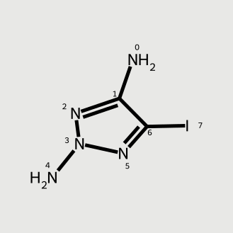 Nc1nn(N)nc1I